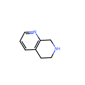 [c]1ccnc2c1CCNC2